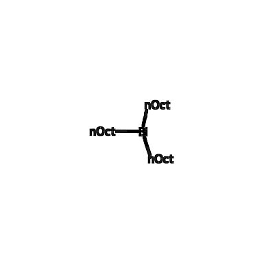 CCCCCCC[CH2][Bi]([CH2]CCCCCCC)[CH2]CCCCCCC